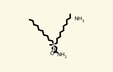 CCCCCCCCCC[SH](C)(C)(CCCCCCCCCC)CC(N)=O.N